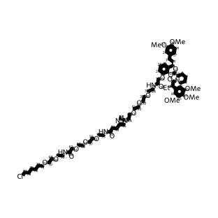 CC[C@H](C(=O)N1CCCC[C@H]1C(=O)O[C@H](CCc1ccc(OC)c(OC)c1)c1cccc(OCC(=O)NCCOCCOCCOCCn2cc(CCC(=O)NCCOCCOCCOCC(=O)NCCOCCOCCCCCCCl)nn2)c1)c1cc(OC)c(OC)c(OC)c1